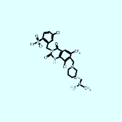 CCS(=O)(=O)c1ccc(Cl)cc1Cn1c(=O)[nH]c2c(Cl)c(CN3CCC[C@@H](CN(C)C)C3)c(C(F)(F)F)cc2c1=O